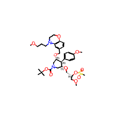 COCCCN1CCOc2ccc(CO[C@H]3CN(C(=O)OC(C)(C)C)C[C@@H](OC[C@@H](COC)OS(C)(=O)=O)[C@@H]3c3ccc(OC)cc3)cc21